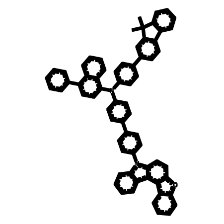 CC1(C)c2ccccc2-c2ccc(-c3ccc(N(c4ccc(-c5ccc(-n6c7ccccc7c7c8c(ccc76)oc6ccccc68)cc5)cc4)c4ccc(-c5ccccc5)c5ccccc45)cc3)cc21